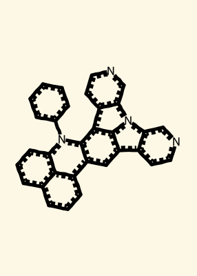 c1ccc(-n2c3cccc4cccc(c5cc6c7ccncc7n7c8cnccc8c(c52)c67)c43)cc1